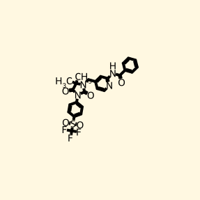 CC1(C)C(=O)N(c2ccc(S(=O)(=O)C(F)(F)F)cc2)C(=O)N1Cc1ccnc(NC(=O)c2ccccc2)c1